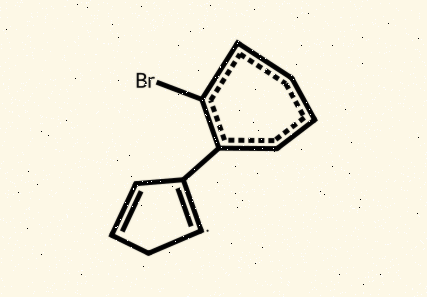 Brc1ccccc1C1=[C]CC=C1